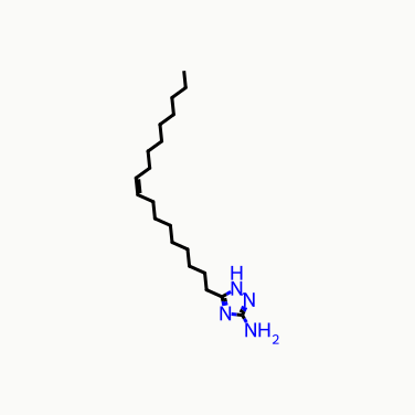 CCCCCCCC/C=C\CCCCCCCCc1nc(N)n[nH]1